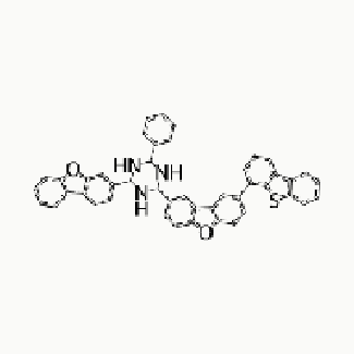 c1ccc(C2NC(c3ccc4c(c3)oc3ccccc34)NC(c3ccc4oc5ccc(-c6cccc7c6sc6ccccc67)cc5c4c3)N2)cc1